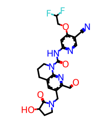 N#Cc1cnc(NC(=O)N2CCCc3cc(CN4CCC(O)C4=O)c(C=O)nc32)cc1OCC(F)F